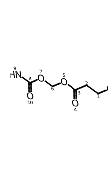 CCCC(=O)OCOC([NH])=O